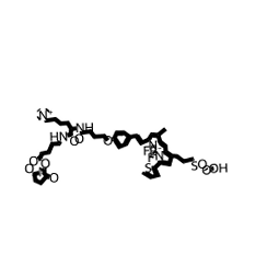 CC1=CC(/C=C/c2ccc(OCCCC(=O)NC(CCCC[N+](C)(C)C)C(=O)NCCCCC(=O)ON3C(=O)CCC3=O)cc2)=[N+]2C1=Cc1c(CCCSOOO)cc(-c3cccs3)n1[B-]2(F)F